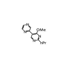 CCCc1ncc(-c2cnccn2)c(OC)n1